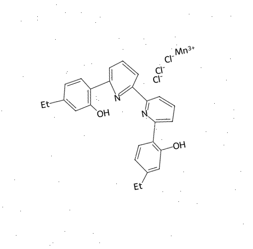 CCc1ccc(-c2cccc(-c3cccc(-c4ccc(CC)cc4O)n3)n2)c(O)c1.[Cl-].[Cl-].[Cl-].[Mn+3]